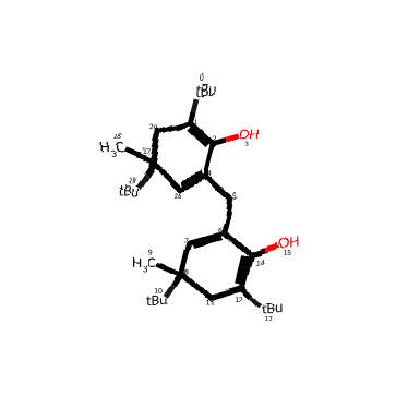 CC(C)(C)C1=C(O)C(CC2=CC(C)(C(C)(C)C)CC(C(C)(C)C)=C2O)=CC(C)(C(C)(C)C)C1